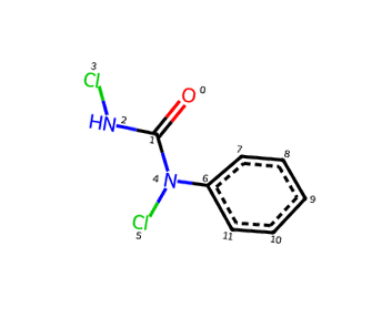 O=C(NCl)N(Cl)c1ccccc1